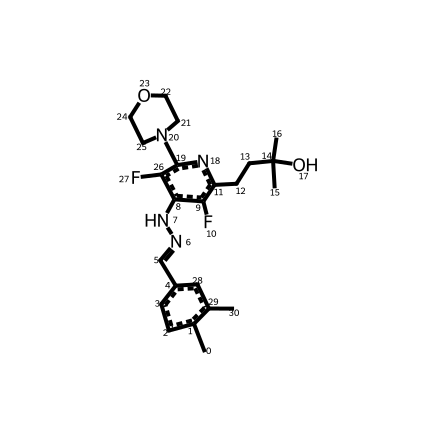 Cc1ccc(C=NNc2c(F)c(CCC(C)(C)O)nc(N3CCOCC3)c2F)cc1C